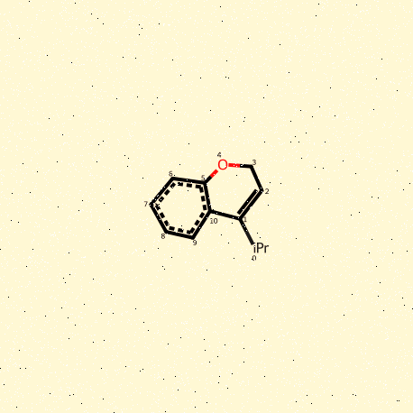 CC(C)C1=CCOc2ccccc21